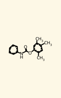 Cc1cc(C)c(OC(=O)Nc2ccccc2)cc1C